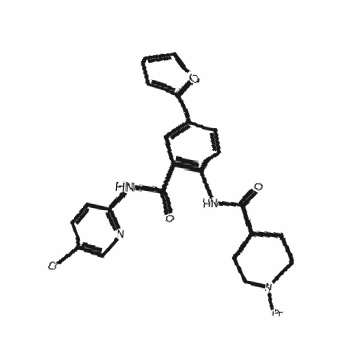 CC(C)N1CCC(C(=O)Nc2ccc(-c3ccco3)cc2C(=O)Nc2ccc(Cl)cn2)CC1